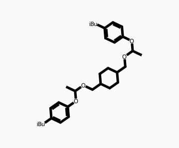 CCC(C)c1ccc(OC(C)OCC2CCC(COC(C)Oc3ccc(C(C)CC)cc3)CC2)cc1